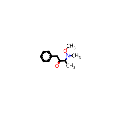 CON(C)[C](C)C(=O)Cc1ccccc1